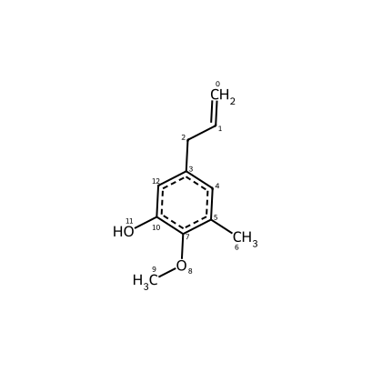 C=CCc1cc(C)c(OC)c(O)c1